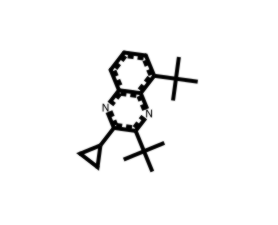 CC(C)(C)c1nc2c(C(C)(C)C)cccc2nc1C1CC1